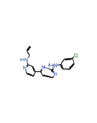 C=CCNc1cc(-c2ccnc(Nc3cccc(Cl)c3)n2)ccn1